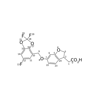 O=C(O)CC1COc2cc(OCc3cc(F)cc4c3OC(F)(F)O4)ccc21